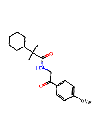 COc1ccc(C(=O)CNC(=O)C(C)(C)C2CCCCC2)cc1